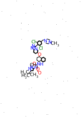 CN1CCN(Cc2cc(Cl)c(-c3nnc4ccc(O[C@@H]5CC[C@H](NC(=O)N(OC=O)c6cc(C(C)(C)C)nn6C)c6ccccc65)cn34)c(Cl)c2)CC1